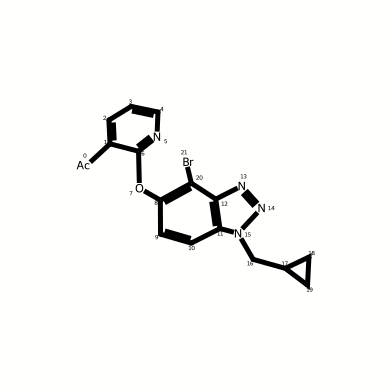 CC(=O)c1cccnc1Oc1ccc2c(nnn2CC2CC2)c1Br